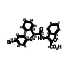 O=C(O)c1oc2ccccc2c1NC(=O)C(Sc1ccc(Br)cc1)c1ccccc1